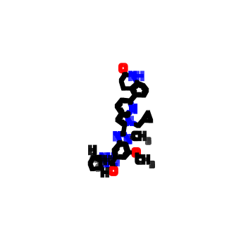 COc1cc(C(=O)N2C[C@H]3CC[C@@H]2[C@@H]3N)cc2nc(-c3cc4ccc(-c5cccc6c5CCC(=O)N6)nc4n3CC3CC3)n(C)c12